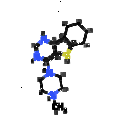 CN1CCN(c2ncnc3c4c(sc23)CCCC4)CC1